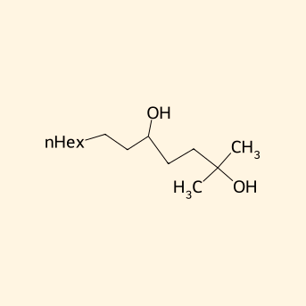 CCCCCCCCC(O)CCC(C)(C)O